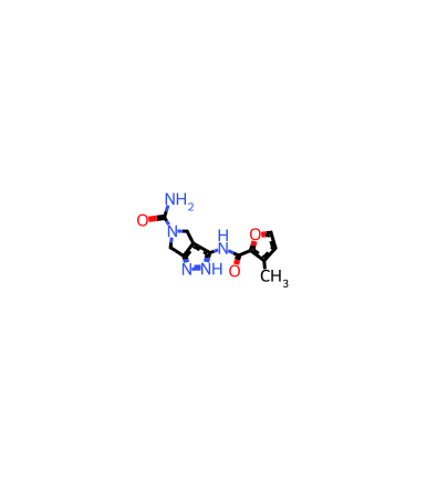 Cc1ccoc1C(=O)Nc1[nH]nc2c1CN(C(N)=O)C2